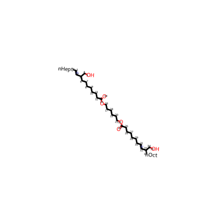 CCCCCCC/C=C/C(CO)CCCCCCCC(=O)OCCCCCCOC(=O)CCCCCC/C=C/C(CO)CCCCCCCC